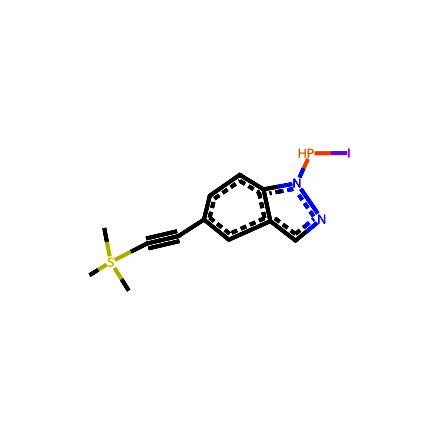 CS(C)(C)C#Cc1ccc2c(cnn2PI)c1